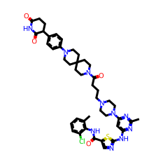 Cc1nc(Nc2ncc(C(=O)Nc3c(C)cccc3Cl)s2)cc(N2CCN(CCCC(=O)N3CCC4(CC3)CCN(c3ccc(C5CCC(=O)NC5=O)cc3)CC4)CC2)n1